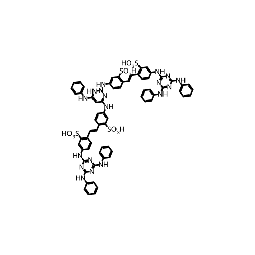 O=S(=O)(O)c1cc(NC2=NN(Nc3ccc(C=Cc4ccc(Nc5nc(Nc6ccccc6)nc(Nc6ccccc6)n5)cc4S(=O)(=O)O)c(S(=O)(=O)O)c3)NC(Nc3ccccc3)=C2)ccc1C=Cc1ccc(Nc2nc(Nc3ccccc3)nc(Nc3ccccc3)n2)cc1S(=O)(=O)O